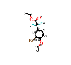 CCOC(=O)C(F)(F)c1ccc(OCC)c(Br)c1